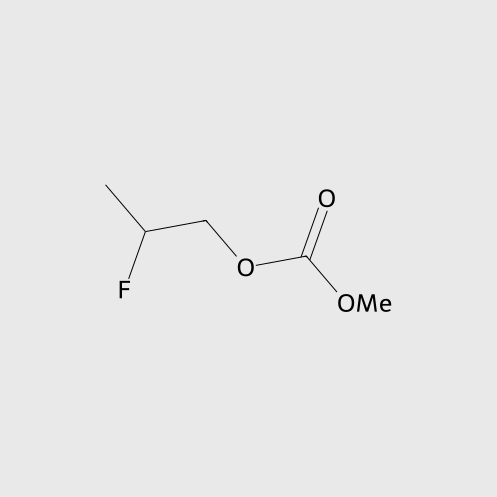 COC(=O)OCC(C)F